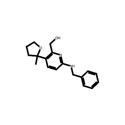 CC1(c2ccc(NCc3ccccc3)nc2CO)CCCO1